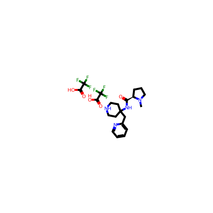 CN1CCC[C@@H]1C(=O)NC1(Cc2ccccn2)CCNCC1.O=C(O)C(F)(F)F.O=C(O)C(F)(F)F